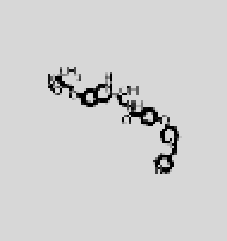 Cc1ncoc1COc1ccc2c(c1)CN[C@H](C(O)CNC(=O)c1ccc(OC3CCN(Cc4ccncc4)CC3)cc1)C2